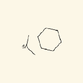 C1CCCCC1.[CH3][Sn][CH3]